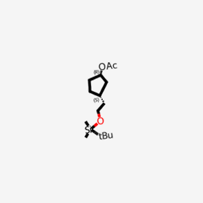 CC(=O)O[C@@H]1CC[C@@H](CCO[Si](C)(C)C(C)(C)C)C1